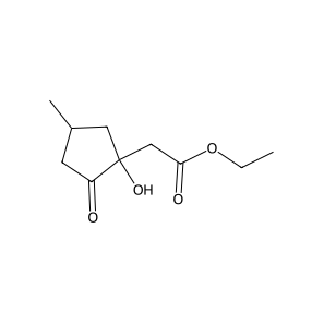 CCOC(=O)CC1(O)CC(C)CC1=O